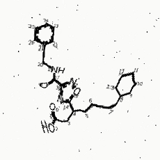 O=C(O)CC(CCCC1CCCCC1)c1nc(C(=O)NCc2ccccc2)no1